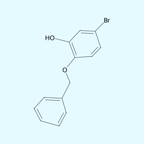 Oc1cc(Br)ccc1OCc1ccccc1